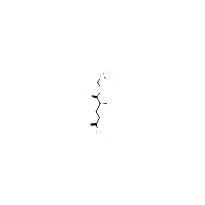 NC(=O)CC[C@H](N)C(=O)NCP(=O)(O)O